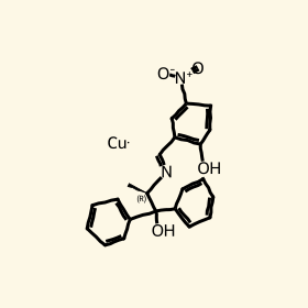 C[C@@H](N=Cc1cc([N+](=O)[O-])ccc1O)C(O)(c1ccccc1)c1ccccc1.[Cu]